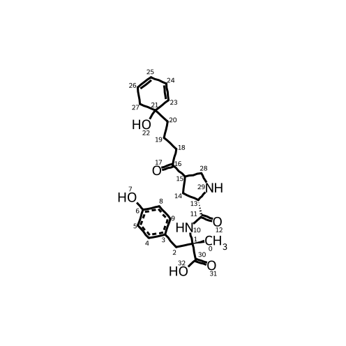 C[C@@](Cc1ccc(O)cc1)(NC(=O)[C@@H]1CC(C(=O)CCCC2(O)C=CC=CC2)CN1)C(=O)O